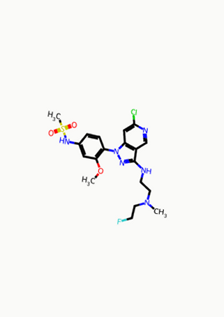 COc1cc(NS(C)(=O)=O)ccc1-n1nc(NCCN(C)CCF)c2cnc(Cl)cc21